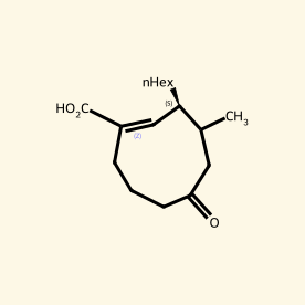 CCCCCC[C@@H]1/C=C(\C(=O)O)CCCC(=O)CC1C